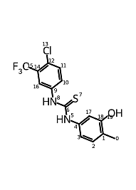 Cc1ccc(NC(=S)Nc2ccc(Cl)c(C(F)(F)F)c2)cc1O